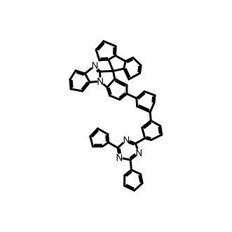 c1ccc(-c2nc(-c3ccccc3)nc(-c3cccc(-c4cccc(-c5ccc6c(c5)C5(c7ccccc7-c7ccccc75)c5nc7ccccc7n5-6)c4)c3)n2)cc1